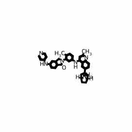 Cc1cc(Nc2ccc(C)c(N3Cc4cc(Nc5ccncc5)ccc4C3=O)c2)c2cc(C3=C[C@@H]4CC[C@H](C3)N4C)ccc2n1